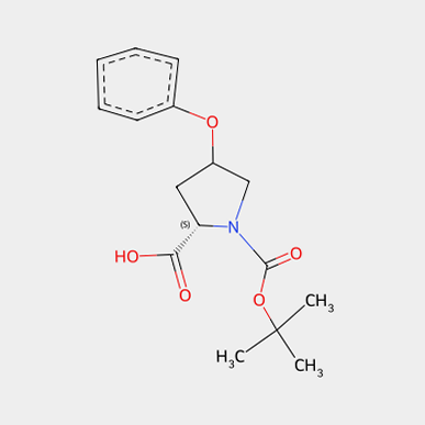 CC(C)(C)OC(=O)N1CC(Oc2ccccc2)C[C@H]1C(=O)O